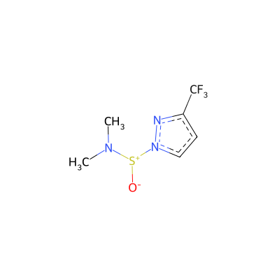 CN(C)[S+]([O-])n1ccc(C(F)(F)F)n1